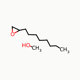 CCCCCCCCC1CO1.CO